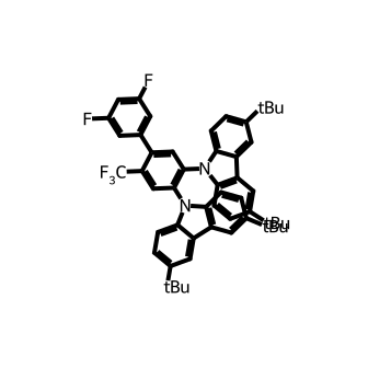 CC(C)(C)c1ccc2c(c1)c1cc(C(C)(C)C)ccc1n2-c1cc(-c2cc(F)cc(F)c2)c(C(F)(F)F)cc1-n1c2ccc(C(C)(C)C)cc2c2cc(C(C)(C)C)ccc21